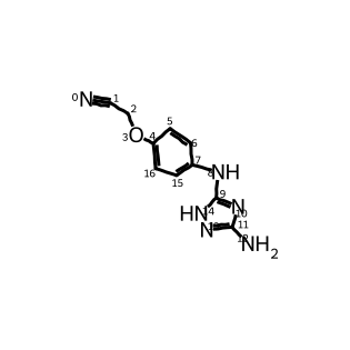 N#CCOc1ccc(Nc2nc(N)n[nH]2)cc1